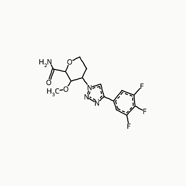 COC1C(C(N)=O)OCCC1n1cc(-c2cc(F)c(F)c(F)c2)nn1